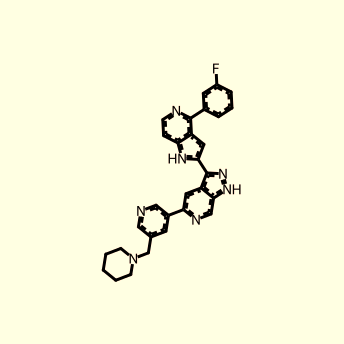 Fc1cccc(-c2nccc3[nH]c(-c4n[nH]c5cnc(-c6cncc(CN7CCCCC7)c6)cc45)cc23)c1